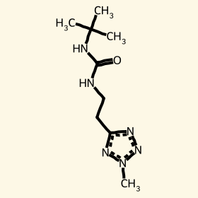 Cn1nnc(CCNC(=O)NC(C)(C)C)n1